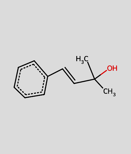 CC(C)(O)C=Cc1ccccc1